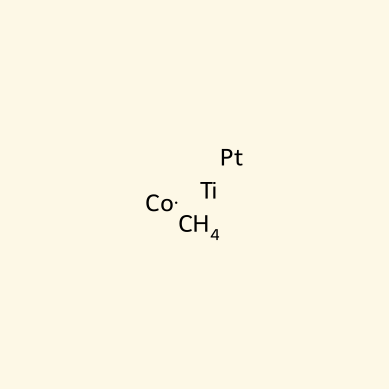 C.[Co].[Pt].[Ti]